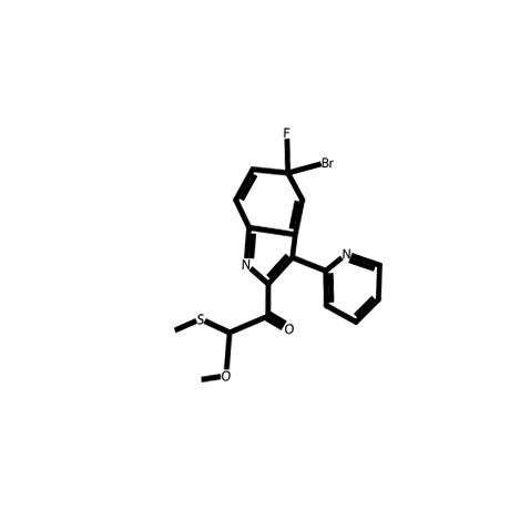 COC(SC)C(=O)C1=C(c2ccccn2)C2=CC(F)(Br)C=CC2=N1